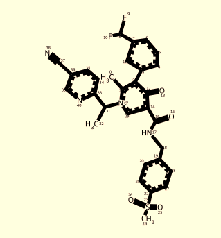 Cc1c(-c2cccc(C(F)F)c2)c(=O)c(C(=O)NCc2ccc(S(C)(=O)=O)cc2)cn1C(C)c1ccc(C#N)cn1